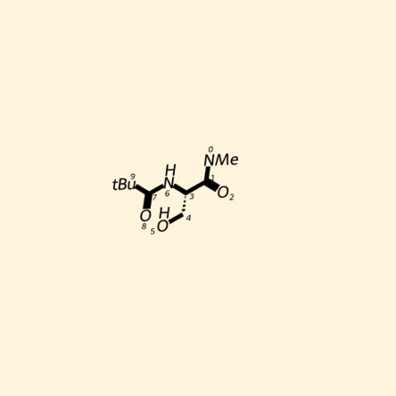 CNC(=O)[C@H](CO)NC(=O)C(C)(C)C